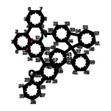 c1ccc(-c2ccccc2N(c2cccc(-c3cccc4c3oc3ccccc34)c2)c2ccc3c(c2)C(c2ccccc2)(c2ccccc2)c2ccccc2-3)cc1